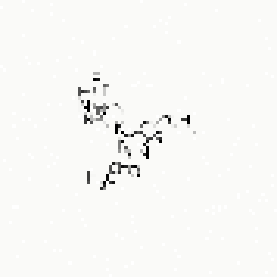 CCc1cc2c(N3CCn4c(nnc4C(F)(F)F)C3)nc(C(=O)OC)nc2s1